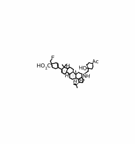 C=C(C)[C@@H]1CC[C@]2(NCCC3(O)CCC(C(C)=O)CC3)CC[C@]3(C)[C@H](CC[C@@H]4[C@@]5(C)CC=C(C6=CC[C@](CF)(C(=O)O)CC6)C(C)(C)[C@@H]5CC[C@]43C)[C@@H]12